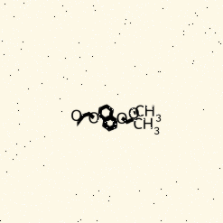 COC(C)COc1cccc2c1CCCC2OCC1CO1